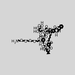 COc1cc2c(cc1OCCCCCOc1cc3c(cc1OC)C(=O)N1CC4(CC4)C[C@H]1[C@H](O)N3C(=O)OCc1ccc(NC(=O)[C@H](CO[C@@H]3O[C@H](C(=O)O)[C@@H](O)[C@H](O)[C@H]3O)NC(=O)[C@@H](NC(C)=O)C(C)C)cc1NC(=O)CCOCCOCCOCCOCCN)NC[C@@H]1Cc3ccccc3CN1C2=O